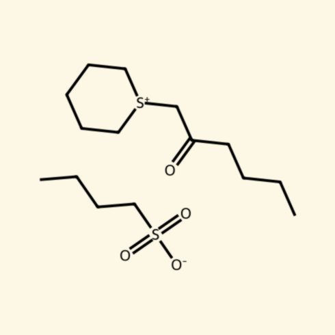 CCCCC(=O)C[S+]1CCCCC1.CCCCS(=O)(=O)[O-]